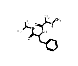 CNC(C)C(=O)NC(Cc1ccccc1)C(=O)NC(C)C